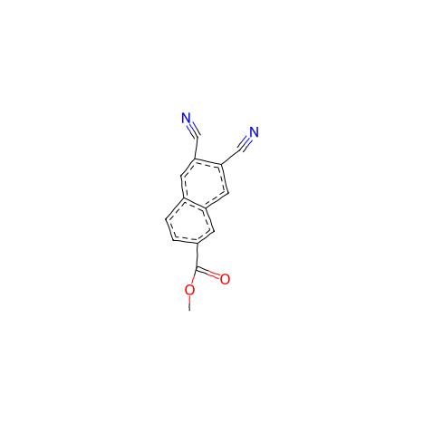 COC(=O)c1ccc2cc(C#N)c(C#N)cc2c1